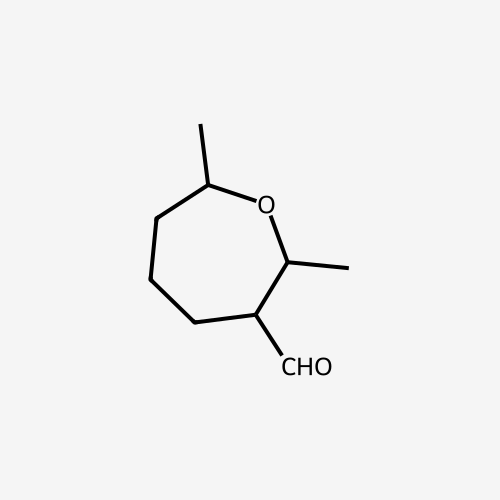 CC1CCCC(C=O)C(C)O1